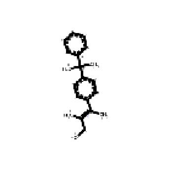 C/C(CO)=C(/C)c1ccc(C(C)(C)c2ccccc2)cc1